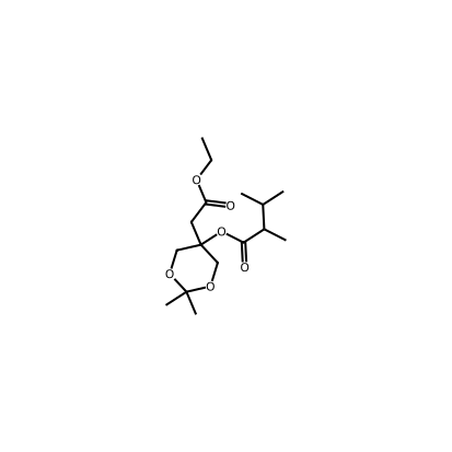 CCOC(=O)CC1(OC(=O)C(C)C(C)C)COC(C)(C)OC1